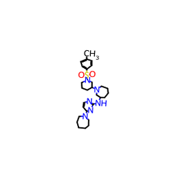 Cc1ccc(S(=O)(=O)N2CCCC(N3CCCCC(Nc4nccc(N5CCCCCC5)n4)C3)C2)cc1